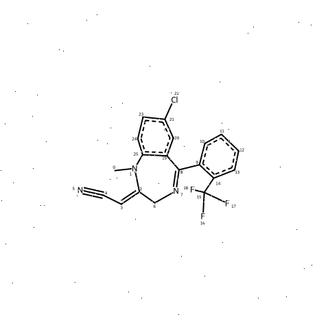 CN1C(=CC#N)CN=C(c2ccccc2C(F)(F)F)c2cc(Cl)ccc21